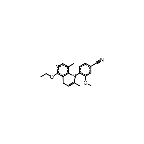 CCOc1ncc(C)c2c1CC=C(C)N2c1ccc(C#N)cc1OC